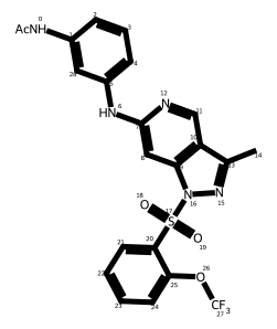 CC(=O)Nc1cccc(Nc2cc3c(cn2)c(C)nn3S(=O)(=O)c2ccccc2OC(F)(F)F)c1